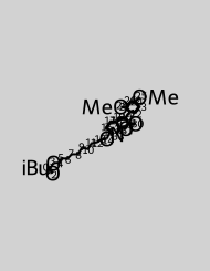 CCC(C)C(=O)OCCCCCCCCCCOc1ccc2cc(-c3ccc(OC)cc3OC)c(=O)oc2n1